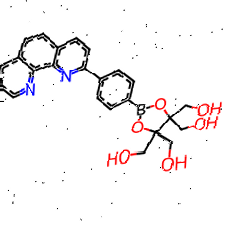 OCC1(CO)OB(c2ccc(-c3ccc4ccc5cccnc5c4n3)cc2)OC1(CO)CO